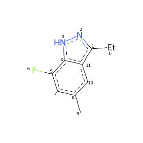 CCc1n[nH]c2c(F)cc(C)cc12